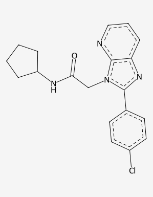 O=C(Cn1c(-c2ccc(Cl)cc2)nc2cccnc21)NC1CCCC1